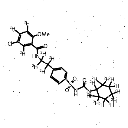 [2H]c1c([2H])c(OC)c(C(=O)NC([2H])([2H])C([2H])([2H])c2ccc(S(=O)(=O)NC(=O)NC3([2H])C([2H])([2H])C([2H])([2H])C([2H])([2H])C([2H])([2H])C3([2H])[2H])cc2)c([2H])c1Cl